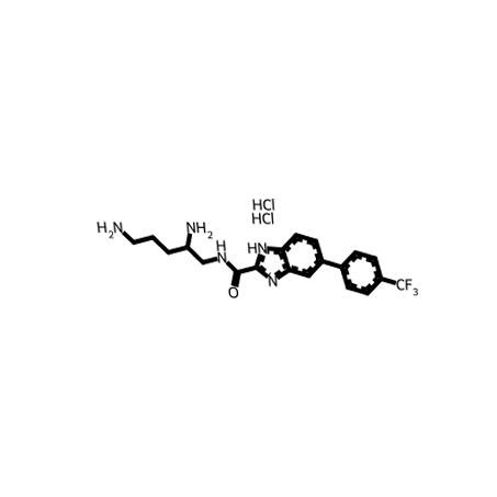 Cl.Cl.NCCCC(N)CNC(=O)c1nc2cc(-c3ccc(C(F)(F)F)cc3)ccc2[nH]1